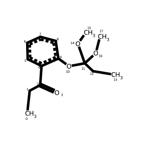 CCC(=O)c1ccccc1OC(CC)(OC)OC